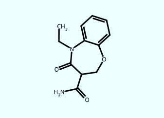 CCN1C(=O)C(C(N)=O)COc2ccccc21